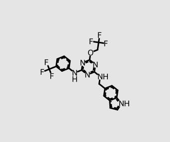 FC(F)(F)COc1nc(NCc2ccc3[nH]ccc3c2)nc(Nc2cccc(C(F)(F)F)c2)n1